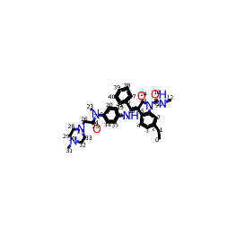 CCc1ccc2c(c1)N(C(=O)NC)C(=O)C2=C(Nc1ccc(N(C)C(=O)CN2CCN(C)CC2)cc1)c1ccccc1